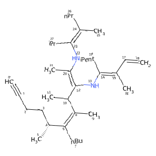 C#CCC[C@@H](C)/C(CCCC)=C(/C)C(C)/C(N/C(=C(\C)C=C)C(C)CCC)=C(\C)N/C(=C(\C)CCC)C(C)C